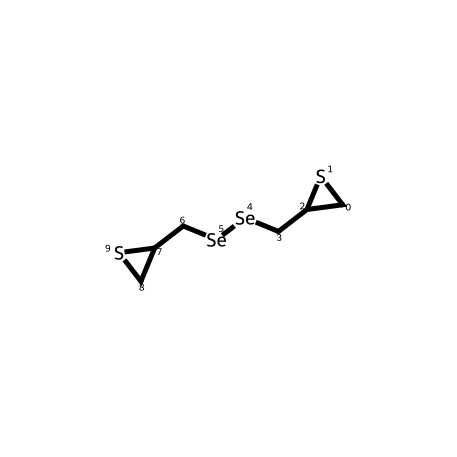 C1SC1C[Se][Se]CC1CS1